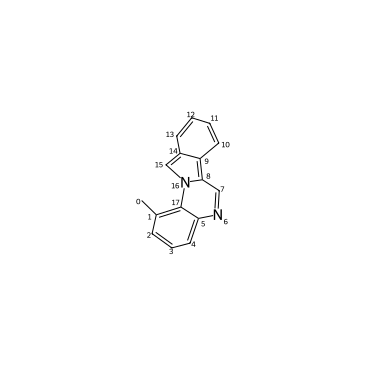 Cc1cccc2ncc3c4ccccc4cn3c12